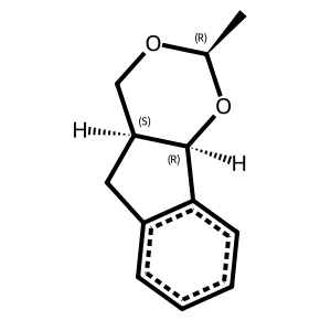 C[C@@H]1OC[C@@H]2Cc3ccccc3[C@@H]2O1